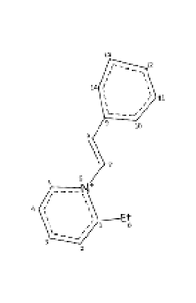 CCc1cccc[n+]1C=Cc1ccccc1